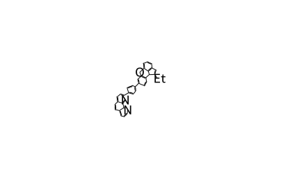 CCC1=Cc2cccc3c2C1c1ccc(-c2ccc(-c4ccc5ccc6cccnc6c5n4)cc2)cc1O3